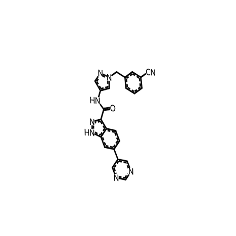 N#Cc1cccc(Cn2cc(NC(=O)c3n[nH]c4cc(-c5cncnc5)ccc34)cn2)c1